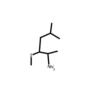 CSC(CC(C)C)C(C)N